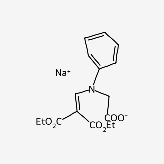 CCOC(=O)C(=CN(CC(=O)[O-])c1ccccc1)C(=O)OCC.[Na+]